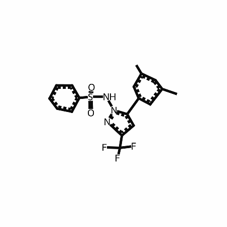 Cc1cc(C)cc(-c2cc(C(F)(F)F)nn2NS(=O)(=O)c2ccccc2)c1